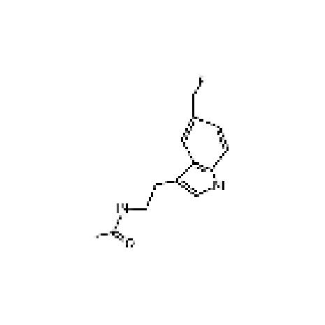 CC(=O)NCCc1c[nH]c2ccc(CF)cc12